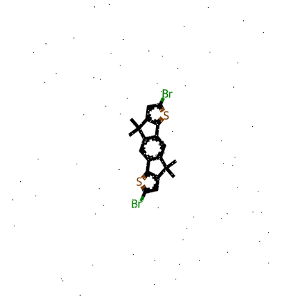 CC1(C)c2cc3c(cc2-c2sc(Br)cc21)C(C)(C)c1cc(Br)sc1-3